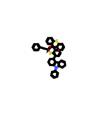 C1=CCC2C(=C1)Sc1ccccc1C21c2ccc(-c3ccccc3)cc2Sc2c(C3CCCc4c3c3c(n4-c4ccccc4)CCC=C3)cccc21